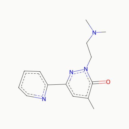 Cc1cc(-c2ccccn2)nn(CCN(C)C)c1=O